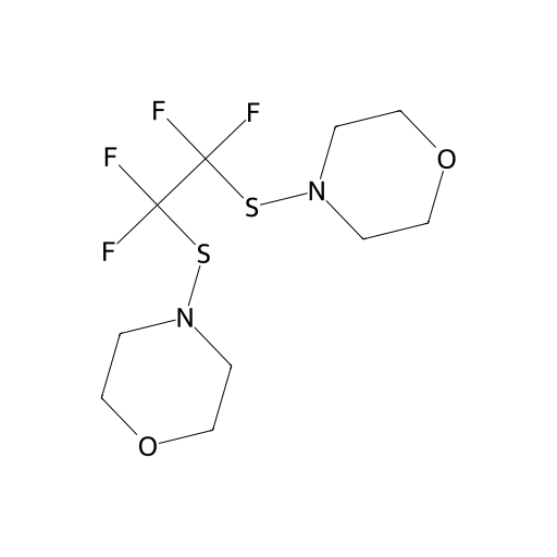 FC(F)(SN1CCOCC1)C(F)(F)SN1CCOCC1